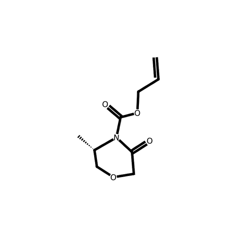 C=CCOC(=O)N1C(=O)COC[C@@H]1C